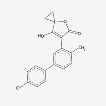 Cc1ccc(-c2ccc(Cl)cc2)cc1C1=C(O)C2(CC2)OC1=O